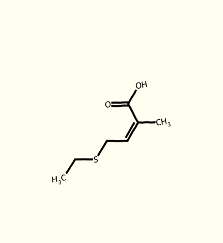 CCSCC=C(C)C(=O)O